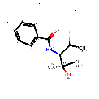 C[C@H](F)[C@H](NC(=O)c1ccccc1)[C@@](C)(O)C(=O)O